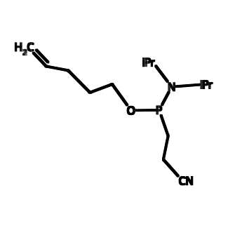 C=CCCCOP(CCC#N)N(C(C)C)C(C)C